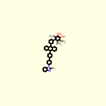 Bc1c(B)c(-c2cccc(-c3c4ccccc4c(-c4ccc(-c5ccc(-n6c(CC)nc7ccccc76)cc5)cc4)c4ccccc34)c2)c(B)c(O)c1O